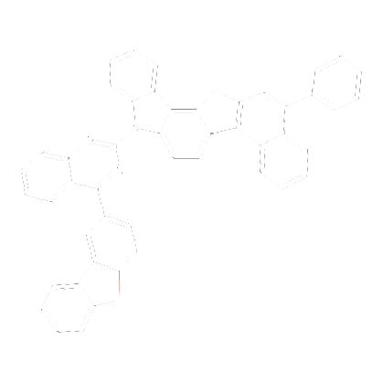 c1ccc(-c2cc3oc4c(ccc5c4c4ccccc4n5-c4nc(-c5ccc6oc7ccccc7c6c5)c5ccccc5n4)c3c3ccccc23)cc1